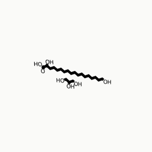 O=C(O)C(O)CCCCCCCCCCCCCCCCO.OCC(O)CO